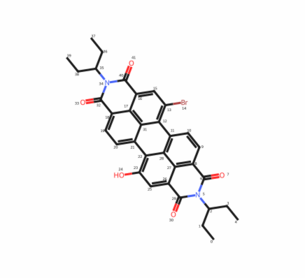 CCC(CC)N1C(=O)c2ccc3c4c(Br)cc5c6c(ccc(c7c(O)cc(c2c37)C1=O)c64)C(=O)N(C(CC)CC)C5=O